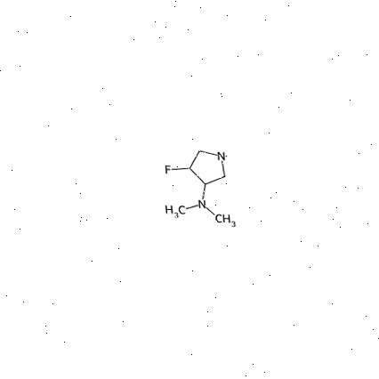 CN(C)C1C[N]CC1F